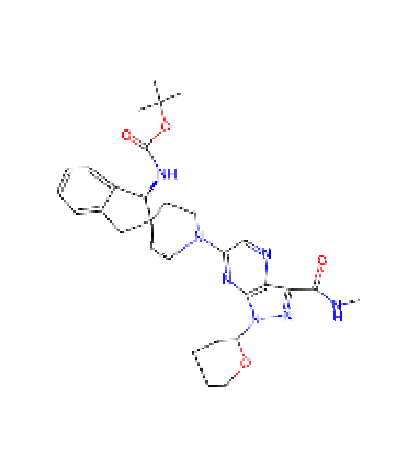 CNC(=O)c1nn(C2CCCCO2)c2nc(N3CCC4(CC3)Cc3ccccc3[C@H]4NC(=O)OC(C)(C)C)cnc12